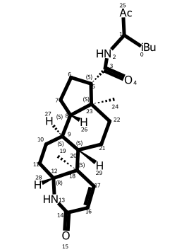 CCC(C)C(NC(=O)[C@H]1CC[C@H]2[C@@H]3CC[C@H]4NC(=O)C=C[C@]4(C)[C@H]3CC[C@]12C)C(C)=O